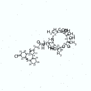 C[C@H]1CN(CCCNC(=O)/C=C/c2cc3c(s2)-c2ccc(Cl)cc2Sc2ccccc2-3)[C@H](C)[C@@H](O)[C@](C)(O)[C@@H](I)OC(=O)[C@H](C)[C@@H](O)[C@H](C)[C@@H](O)[C@](C)(O)C1